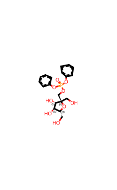 O=P(OC[C@@]1(CO)O[C@H](CO)[C@@H](O)[C@@H]1O)(Oc1ccccc1)Oc1ccccc1